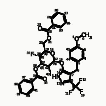 COc1ccc(Cc2c(C(F)(F)F)n[nH]c2O[C@@H]2O[C@H](COC(=O)c3ccccc3)[C@@H](F)[C@H](OC(=O)c3ccccc3)C2I)cc1